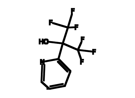 OC(c1cc[c]cn1)(C(F)(F)F)C(F)(F)F